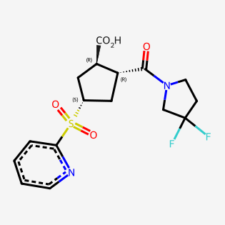 O=C(O)[C@@H]1C[C@@H](S(=O)(=O)c2ccccn2)C[C@H]1C(=O)N1CCC(F)(F)C1